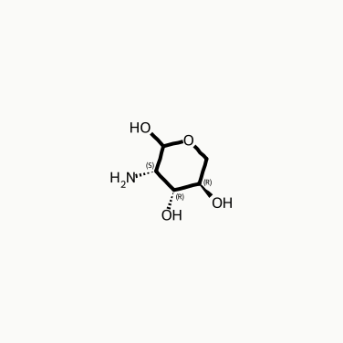 N[C@@H]1C(O)OC[C@@H](O)[C@@H]1O